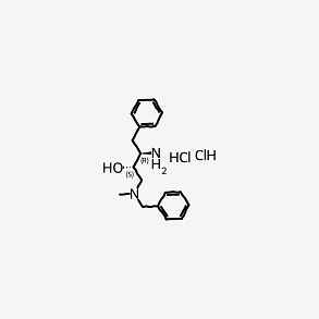 CN(Cc1ccccc1)C[C@H](O)[C@H](N)Cc1ccccc1.Cl.Cl